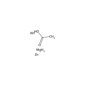 [CH2]C(=O)O.[KH].[MgH2].[Zn]